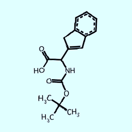 CC(C)(C)OC(=O)NC(C(=O)O)C1=Cc2ccccc2C1